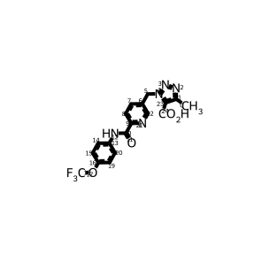 Cc1nnn(Cc2ccc(C(=O)Nc3ccc(OC(F)(F)F)cc3)nc2)c1C(=O)O